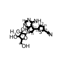 C[C@]1(O)C(O)C(CO)O[C@H]1n1cc(-c2ccc(C#N)s2)c2c(N)ncnc21